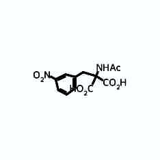 CC(=O)NC(Cc1cccc([N+](=O)[O-])c1)(C(=O)O)C(=O)O